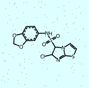 O=S(=O)(Nc1ccc2c(c1)OCO2)C1C(Cl)N=C2SC=CN21